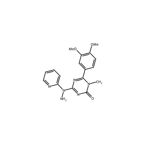 COc1ccc(-c2nc(N(N)c3ccccn3)nc(=O)n2C)cc1OC